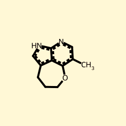 Cc1cnc2[nH]cc3c2c1OCCC3